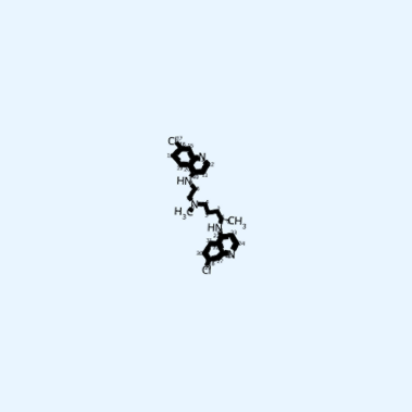 C[C@@H](CCCN(C)CCNc1ccnc2cc(Cl)ccc12)Nc1ccnc2cc(Cl)ccc12